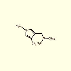 CON(C)Cc1cn(C)cc1C(F)(F)F